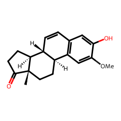 COc1cc2c(cc1O)C=C[C@@H]1[C@@H]2CC[C@]2(C)C(=O)CC[C@@H]12